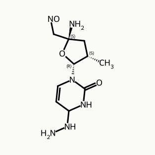 C[C@H]1C[C@@](N)(CN=O)O[C@H]1N1C=CC(NN)NC1=O